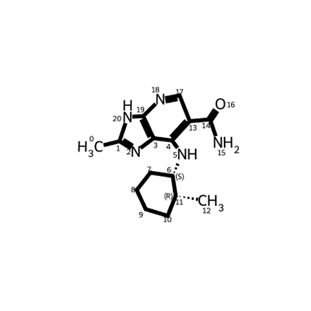 Cc1nc2c(N[C@H]3CCCC[C@H]3C)c(C(N)=O)cnc2[nH]1